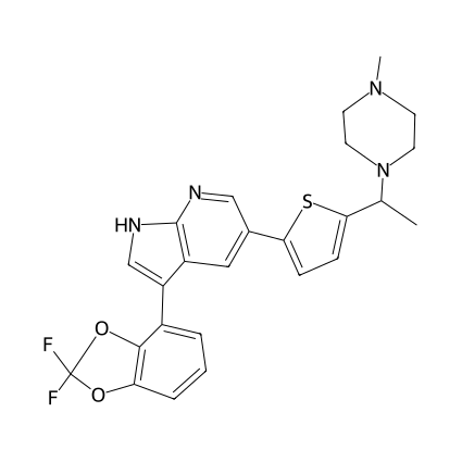 CC(c1ccc(-c2cnc3[nH]cc(-c4cccc5c4OC(F)(F)O5)c3c2)s1)N1CCN(C)CC1